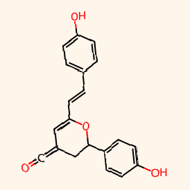 O=C=C1C=C(C=Cc2ccc(O)cc2)OC(c2ccc(O)cc2)C1